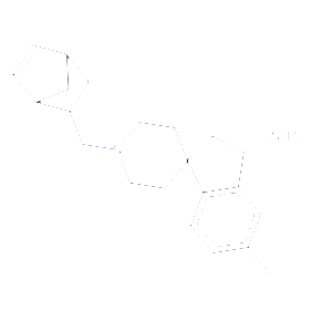 CC(=O)N[C@H]1CC2(CCN(CC3CC4C=CC3C4)CC2)c2ccc(C)cc21